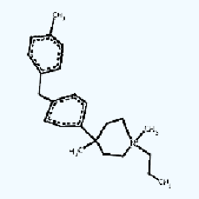 CCC[N+]1(C)CCC(C)(c2ccc(Cc3ccc(C)cc3)cc2)CC1